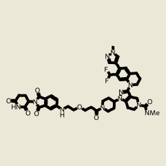 CNC(=O)N1CCc2c(c(N3CCCc4cc(-c5cnn(C)c5)c(C(F)F)cc43)nn2C2CCN(C(=O)CCOCCNc3ccc4c(c3)C(=O)N(C3CCC(=O)NC3=O)C4=O)CC2)C1